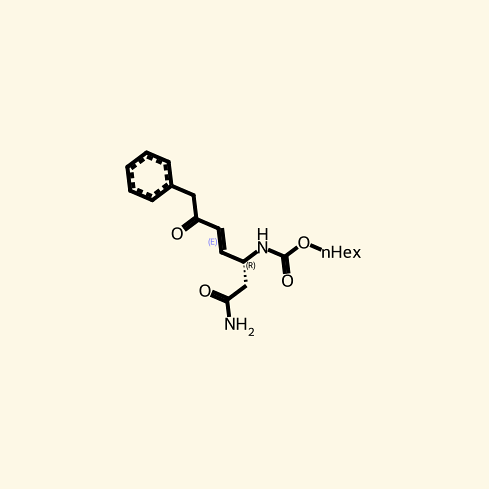 CCCCCCOC(=O)N[C@@H](/C=C/C(=O)Cc1ccccc1)CC(N)=O